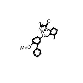 COc1ccc(OCc2c(C)cccc2-n2nnn(C)c2=O)cc1-c1ccccc1